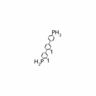 Pc1ccc(-c2ccc(-c3ccc(P)c(I)c3)c(I)c2)cc1